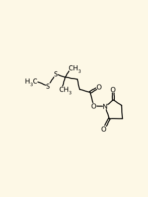 CSSC(C)(C)CCC(=O)ON1C(=O)CCC1=O